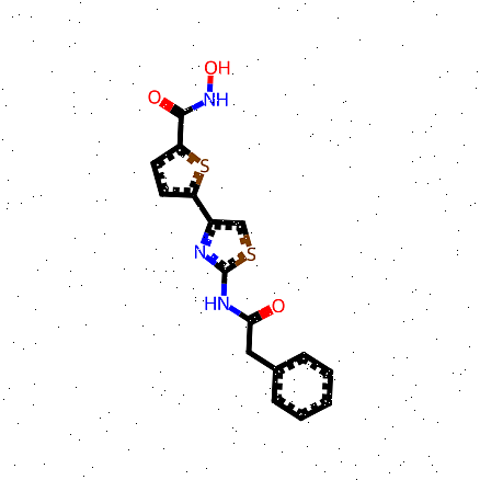 O=C(Cc1ccccc1)Nc1nc(-c2ccc(C(=O)NO)s2)cs1